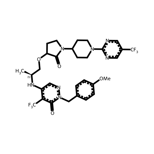 COc1ccc(Cn2ncc(N[C@@H](C)COC3CCN(C4CCN(c5ncc(C(F)(F)F)cn5)CC4)C3=O)c(C(F)(F)F)c2=O)cc1